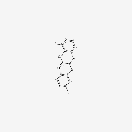 Cc1cccc(CC(Cc2cccc(C)c2)C(=O)Cl)c1